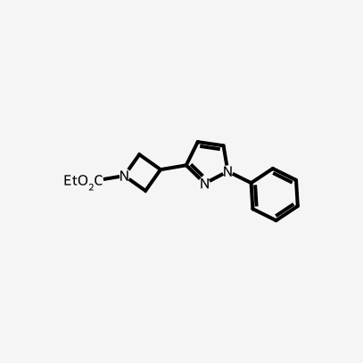 CCOC(=O)N1CC(c2ccn(-c3ccccc3)n2)C1